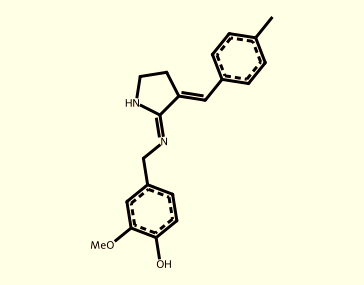 COc1cc(CN=C2NCCC2=Cc2ccc(C)cc2)ccc1O